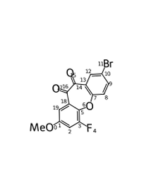 COc1cc(F)c2oc3ccc(Br)cc3c(=O)c(=O)c2c1